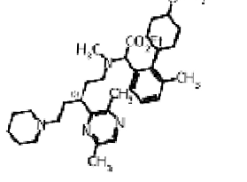 CCOC(=O)C(c1cccc(C)c1C1CCC(OC(F)(F)F)CC1)N(C)CC[C@H](CCN1CCCCC1)c1nc(C)cnc1C